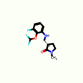 CN1CC[C@@H](CNc2cccc(F)c2OC(F)F)C1=O